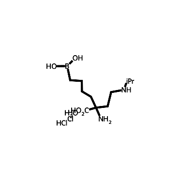 CC(C)NCCC(N)(CCCCB(O)O)C(=O)O.Cl.Cl.O